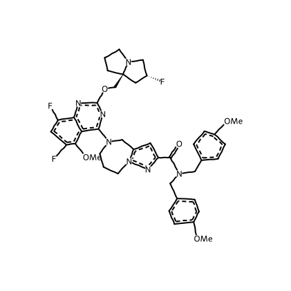 COc1ccc(CN(Cc2ccc(OC)cc2)C(=O)c2cc3n(n2)CCCN(c2nc(OC[C@@]45CCCN4C[C@H](F)C5)nc4c(F)cc(F)c(OC)c24)C3)cc1